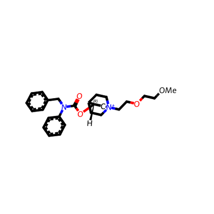 COCCOCC[N+]12CCC(CC1)[C@@H](OC(=O)N(Cc1ccccc1)c1ccccc1)C2